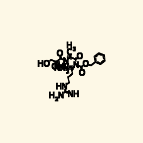 C[C@H](NC(=O)[C@H](N)CO)C(=O)N(C(=O)OCc1ccccc1)[C@H](C=O)CCCNC(=N)N